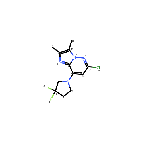 Cc1nc2c(N3CCC(F)(F)C3)cc(Cl)nn2c1C